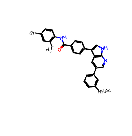 CC(=O)Nc1cccc(-c2cnc3[nH]cc(-c4ccc(C(=O)Nc5ccc(C(C)C)cc5C)cc4)c3c2)c1